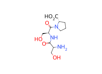 NC(CO)C(=O)N[C@@H](CO)C(=O)N1CCC[C@H]1C(=O)O